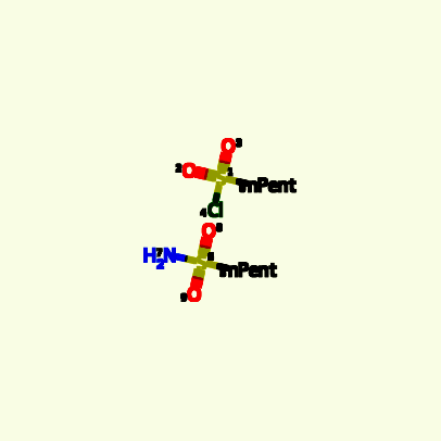 CCCCCS(=O)(=O)Cl.CCCCCS(N)(=O)=O